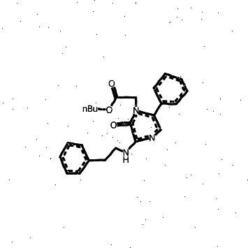 CCCCOC(=O)Cn1c(-c2ccccc2)cnc(NCCc2ccccc2)c1=O